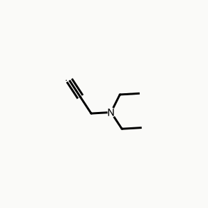 [C]#CCN(CC)CC